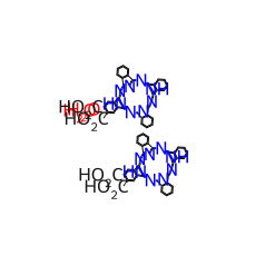 O.O.O=C(O)c1cc2c3nc4nc(nc5[nH]c(nc6nc(nc([nH]3)c2cc1C(=O)O)-c1ccccc1-6)c1ccccc51)-c1ccccc1-4.O=C(O)c1cc2c3nc4nc(nc5[nH]c(nc6nc(nc([nH]3)c2cc1C(=O)O)-c1ccccc1-6)c1ccccc51)-c1ccccc1-4